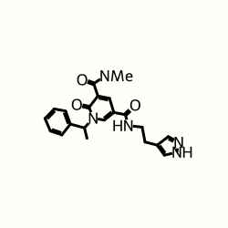 CNC(=O)c1cc(C(=O)NCCc2cn[nH]c2)cn(C(C)c2ccccc2)c1=O